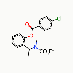 CCOC(=O)N(C)C(C)c1ccccc1OC(=O)c1ccc(Cl)cc1